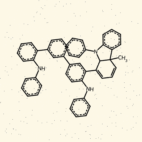 CC12C=CC=C(c3cc(-c4cccc(-c5ccccc5Nc5ccccc5)c4)ccc3Nc3ccccc3)C1N(c1ccccc1)c1ccccc12